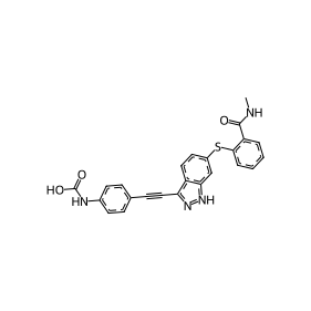 CNC(=O)c1ccccc1Sc1ccc2c(C#Cc3ccc(NC(=O)O)cc3)n[nH]c2c1